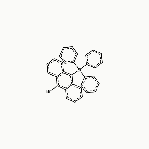 Brc1c2ccccc2c([Si](c2ccccc2)(c2ccccc2)c2ccccc2)c2ccccc12